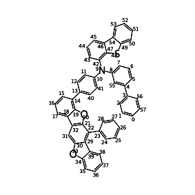 c1ccc(-c2cccc(N(c3ccc(-c4cccc5c4oc4c(-c6ccccc6)c6c(cc45)oc4ccccc46)cc3)c3cccc4c3sc3ccccc34)c2)cc1